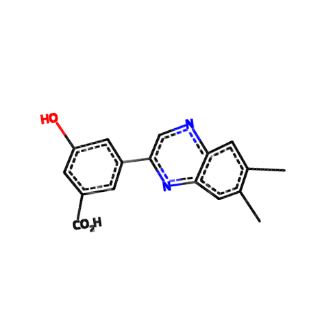 Cc1cc2ncc(-c3cc(O)cc(C(=O)O)c3)nc2cc1C